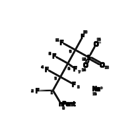 CCCCCC(F)C(F)(F)C(F)(F)C(F)(F)S(=O)(=O)[O-].[Na+]